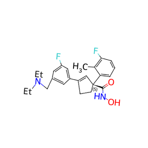 CCN(CC)Cc1cc(F)cc(C2=C[C@](C(=O)NO)(c3cccc(F)c3C)CC2)c1